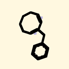 C1=C\C(Cc2ccccc2)=C/CCCC/1